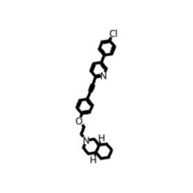 Clc1ccc(-c2ccc(C#Cc3ccc(OCCN4CC[C@H]5CCCC[C@H]5C4)cc3)nc2)cc1